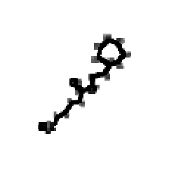 [CH2]CCCCC(=O)OCCC1CCCCCC1